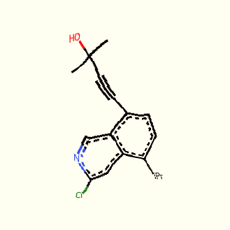 CC(C)c1ccc(C#CC(C)(C)O)c2cnc(Cl)cc12